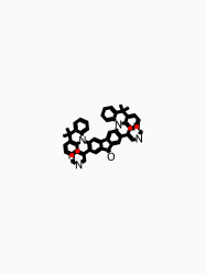 CC1(C)C2=CCCC=C2N(c2cc3c(cc2-c2cncnc2)C(=O)c2cc(-c4cncnc4)c(N4C5=C(C=C=C=C5)C(C)(C)c5ccccc54)cc2-3)c2ccccc21